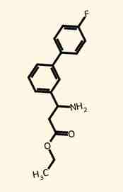 CCOC(=O)CC(N)c1cccc(-c2ccc(F)cc2)c1